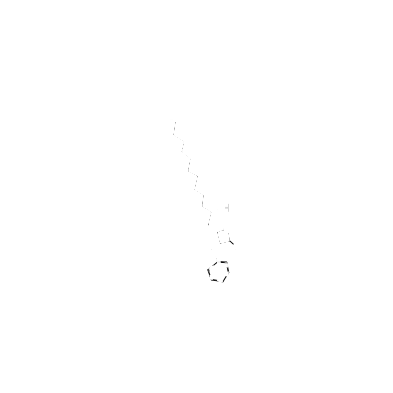 CCCCCCCCCCC[C@H](O)C[C@H]1OC(=O)[C@@H]1Sc1ccccc1